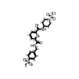 CCS(=O)(=O)N1CCC(NC(=O)c2cccc(C(=O)NCc3ccc(S(C)(=O)=O)cc3)n2)CC1